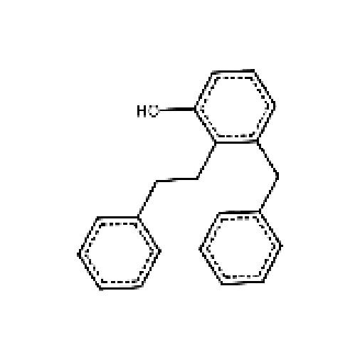 Oc1cccc(Cc2ccccc2)c1CCc1ccccc1